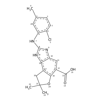 Cc1ccc(Cl)c(Nc2nc3cc(C(=O)O)c4c(c3[nH]2)CC(C)(C)O4)c1